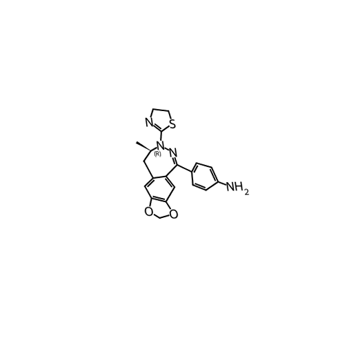 C[C@@H]1Cc2cc3c(cc2C(c2ccc(N)cc2)=NN1C1=NCCS1)OCO3